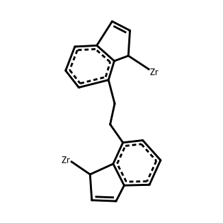 [Zr][CH]1C=Cc2cccc(CCc3cccc4c3[CH]([Zr])C=C4)c21